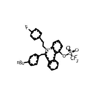 CCCCc1ccc(-c2c3ccccc3c3c(OS(=O)(=O)C(F)(F)F)cccc3[n+]2CCc2ccc(F)cc2)cc1